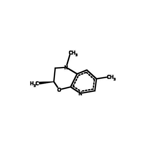 Cc1cnc2c(c1)N(C)C[C@H](C)O2